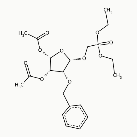 CCOP(=O)(CO[C@H]1O[C@@H](OC(C)=O)[C@@H](OC(C)=O)[C@H]1OCc1ccccc1)OCC